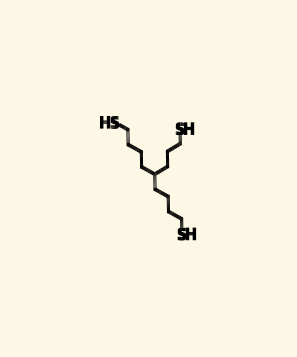 SCCCCC(CCCS)CCCCS